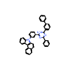 c1ccc(C2=NC(c3cccc(-c4ccccc4)c3)NC(c3cccc(-n4c5ccccc5c5c6ccccc6ccc54)c3)=N2)cc1